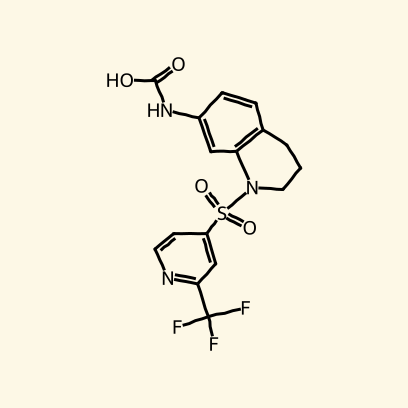 O=C(O)Nc1ccc2c(c1)N(S(=O)(=O)c1ccnc(C(F)(F)F)c1)CCC2